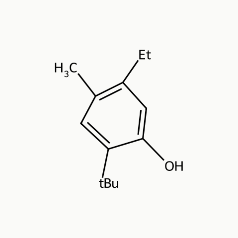 CCc1cc(O)c(C(C)(C)C)cc1C